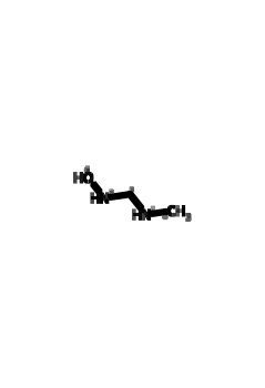 CNCNO